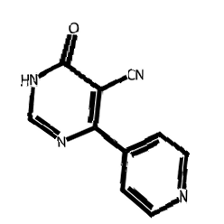 N#Cc1c(-c2ccncc2)nc[nH]c1=O